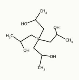 CC(O)[CH2][Ti]([CH2]C(C)O)([CH2]C(C)O)[CH2]C(C)O